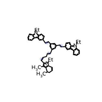 CCn1c2c(c(C)c1/C=C\C/C=C/c1cc(/C=C/c3ccc4c(c3)c3ccccc3n4CC)cc(/C=C/c3ccc4c(c3)c3ccccc3n4CC)c1)C(C)CC=C2